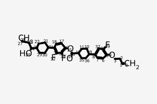 C=CCCOc1ccc(C2CCC(C(=O)Oc3ccc(C4CCC(C(O)CCC)CC4)c(F)c3F)CC2)cc1F